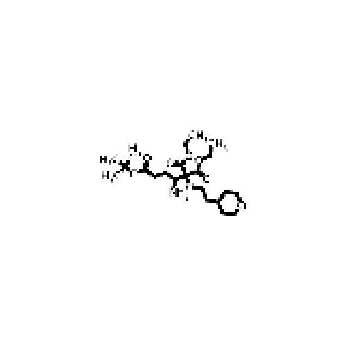 CCOC(=O)C(OCCC1CCOCC1)(C(=O)OCC)C(N)CCC(=O)OC(C)(C)C